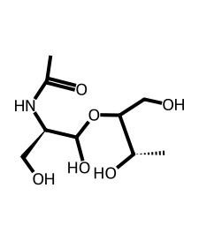 CC(=O)N[C@H](CO)C(O)OC(CO)[C@H](C)O